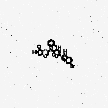 O=C[C@H](C[C@@H]1CCNC1=O)NC(=O)[C@H](Cc1ccccc1)NC(=O)C1=CN2C=C(Br)C=CC2N1